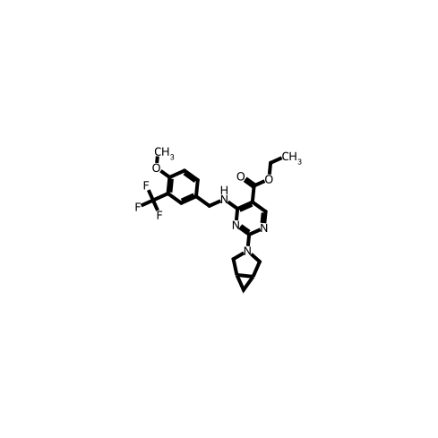 CCOC(=O)c1cnc(N2CC3CC3C2)nc1NCc1ccc(OC)c(C(F)(F)F)c1